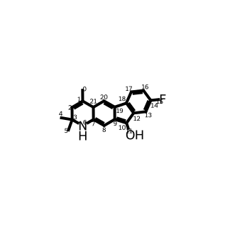 CC1=CC(C)(C)NC2=CC3=C(O)c4cc(F)ccc4C3=CC12